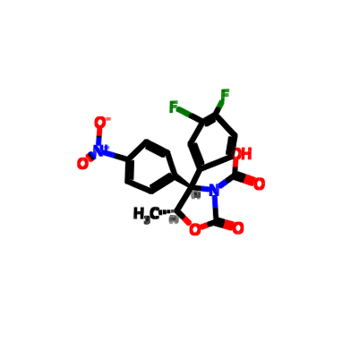 C[C@H]1OC(=O)N(C(=O)O)[C@@]1(c1ccc([N+](=O)[O-])cc1)c1ccc(F)c(F)c1